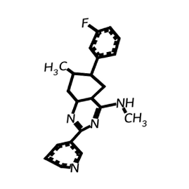 CNC1=NC(c2cccnc2)=NC2CC(C)C(c3cccc(F)c3)CC12